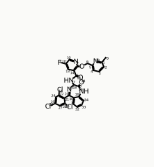 Cc1cccc(COc2ncc(F)cc2C(=O)NC2N=C(c3c(Cl)cc(Cl)cc3Cl)c3ccccc3NC2=O)n1